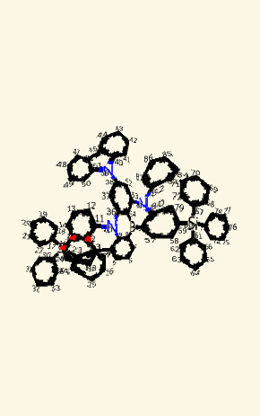 c1ccc(-c2cccc3c2N(c2cccc([Si](c4ccccc4)(c4ccccc4)c4ccccc4)c2)c2cc(-n4c5ccccc5c5ccccc54)cc4c2B3c2ccc([Si](c3ccccc3)(c3ccccc3)c3ccccc3)cc2N4c2ccccc2)cc1